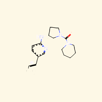 O=C(O)/C=C/c1ccc(N[C@@H]2CCN(C(=O)N3CCCCC3)C2)nc1